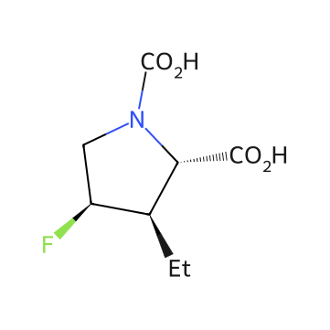 CC[C@@H]1[C@@H](C(=O)O)N(C(=O)O)C[C@@H]1F